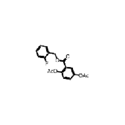 CC(=O)Oc1ccc(OC(C)=O)c(C(=O)OCc2ccccc2F)c1